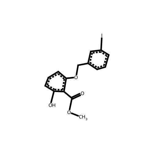 COC(=O)c1c(O)cccc1OCc1cccc(I)c1